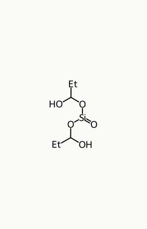 CCC(O)O[Si](=O)OC(O)CC